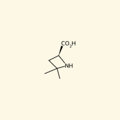 CC1(C)C[C@@H](C(=O)O)N1